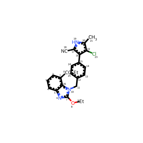 CCOC(=O)c1cccc2nc(OCC)n(Cc3ccc(-c4c(C#N)[nH]c(C)c4Cl)cc3)c12